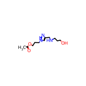 CC(=O)OCCCn1cc(CNCCCO)nn1